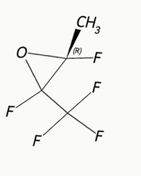 C[C@]1(F)OC1(F)C(F)(F)F